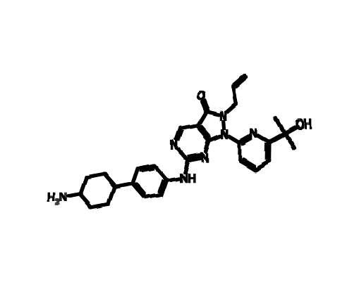 C=CCn1c(=O)c2cnc(Nc3ccc(C4CCC(N)CC4)cc3)nc2n1-c1cccc(C(C)(C)O)n1